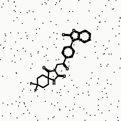 O=C(CN1C(=O)NC2(CCC(F)(F)CC2)C1=O)c1ccc(-n2c(=O)oc3ccccc32)cc1